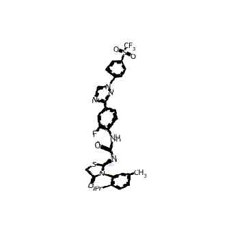 Cc1ccc(C(C)C)c(N2C(=O)CS/C2=N\C(=O)Nc2ccc(-c3ncn(-c4ccc(S(=O)(=O)C(F)(F)F)cc4)n3)cc2F)c1